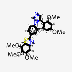 COc1cc(OC)c(-c2cncn2-c2ccc(-c3nc4cc(OC)c(OC)c(OC)c4s3)cc2)c(OC)c1